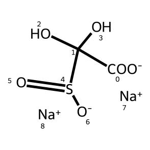 O=C([O-])C(O)(O)S(=O)[O-].[Na+].[Na+]